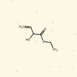 C=CC(O)C(=O)OCC